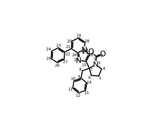 O=C(O)N1CCCC1(Cc1ccccc1)c1cn2cccc(-c3ccccc3)c2n1